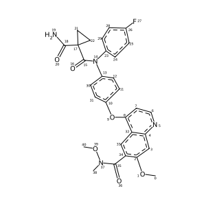 COc1cc2nccc(Oc3ccc(N(C(=O)C4(C(N)=O)CC4)c4ccc(F)cc4)cc3)c2cc1C(=O)N(C)OC